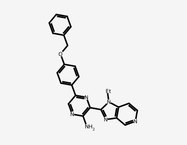 CCn1c(-c2nc(-c3ccc(OCc4ccccc4)cc3)cnc2N)nc2cnccc21